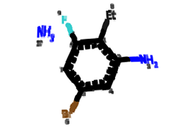 CCc1c(N)cc(Br)cc1F.N